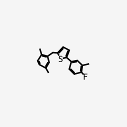 Cc1ccc(C)c(Cc2ccc(-c3ccc(F)c(C)c3)s2)c1